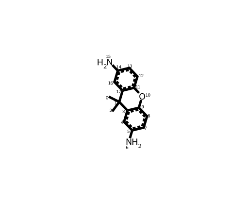 CC1(C)c2cc(N)ccc2Oc2ccc(N)cc21